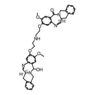 COc1cc2c(cc1OCCNCCOc1cc3c(cc1OC)C(O)N1Cc4ccccc4C[C@H]1C=N3)N=C[C@@H]1Cc3ccccc3CN1C2=O